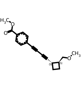 COC[C@H]1CC[C@@H]1C#CC#Cc1ccc(C(=O)OC)cc1